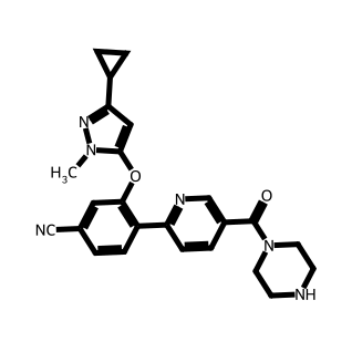 Cn1nc(C2CC2)cc1Oc1cc(C#N)ccc1-c1ccc(C(=O)N2CCNCC2)cn1